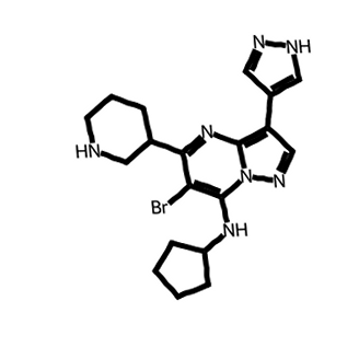 Brc1c(C2CCCNC2)nc2c(-c3cn[nH]c3)cnn2c1NC1CCCC1